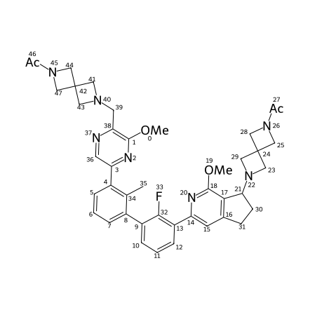 COc1nc(-c2cccc(-c3cccc(-c4cc5c(c(OC)n4)C(N4CC6(CN(C(C)=O)C6)C4)CC5)c3F)c2C)cnc1CN1CC2(C1)CN(C(C)=O)C2